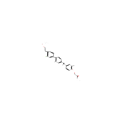 CCC(CC)(c1ccc(OCC(=O)C(C)(C)C)c(C)c1)c1ccc(-c2ccc(CCOOC)c(F)c2)c(C)c1